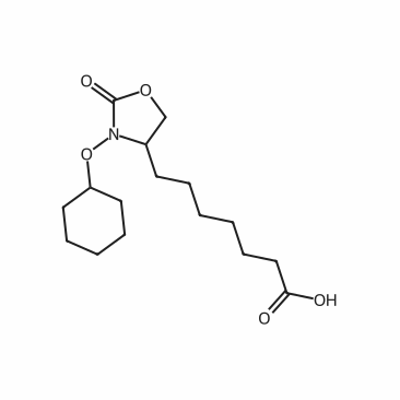 O=C(O)CCCCCCC1COC(=O)N1OC1CCCCC1